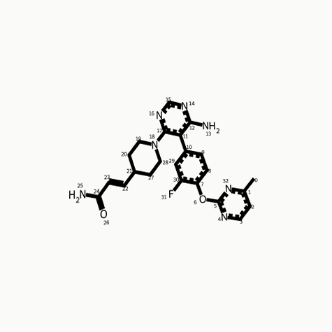 Cc1ccnc(Oc2ccc(-c3c(N)ncnc3N3CCC(C=CC(N)=O)CC3)cc2F)n1